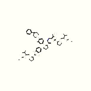 C=C(/C=C\c1nc([C@@H]2CCCN2C(=O)[C@@H](NC(=O)OC)C(C)C)[nH]c1C)[C@H]1CC[C@H](c2ccc3nc([C@@H]4CCCN4C(=O)[C@@H](NC(=O)OC)C(C)C)[nH]c3c2)N1c1cc(F)c(N2CCC(F)(c3ccccc3)CC2)c(F)c1